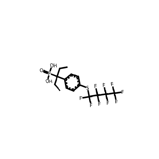 CCC(CC)(c1ccc(SC(F)(F)C(F)(F)C(F)(F)C(F)(F)F)cc1)P(=O)(O)O